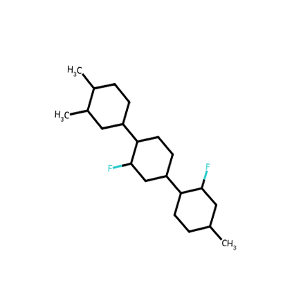 CC1CCC(C2CCC(C3CCC(C)C(C)C3)C(F)C2)C(F)C1